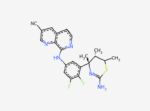 CC1SC(N)=N[C@](C)(c2cc(Nc3nccc4cc(C#N)cnc34)cc(F)c2F)[C@@H]1C